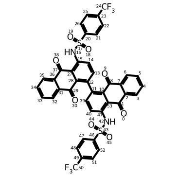 O=C1c2ccccc2C(=O)c2c(-c3ccc(NS(=O)(=O)c4ccc(C(F)(F)F)cc4)c4c3C(=O)c3ccccc3C4=O)ccc(NS(=O)(=O)c3ccc(C(F)(F)F)cc3)c21